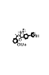 CCOc1cc(-c2cn[nH]c2)ccc1C(=O)N[C@H](C)c1cccc(OC)c1